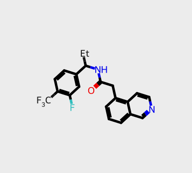 CCC(NC(=O)Cc1cccc2cnccc12)c1ccc(C(F)(F)F)c(F)c1